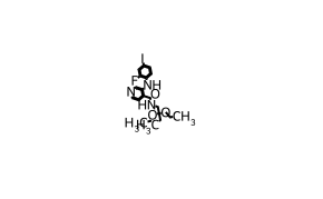 CCOC(CC)(CNC(=O)c1ccncc1Nc1ccc(I)cc1F)OCC